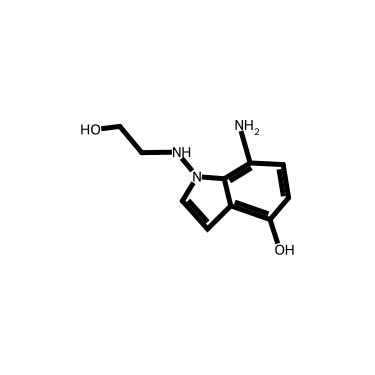 Nc1ccc(O)c2ccn(NCCO)c12